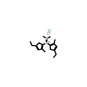 CCC1=CC(C)=[C]([Ti+2]([C]2=C(C)C=C(CC)C2)=[Si](C)C)C1.[Cl-].[Cl-]